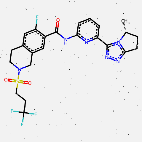 C[C@@H]1CCc2nnc(-c3cccc(NC(=O)c4cc5c(cc4F)CCN(S(=O)(=O)CCC(F)(F)F)C5)n3)n21